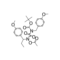 CCC(c1ccc(OC)cc1)N(OC(C)=O)S(=O)(=O)N(Cc1ccc(OC)cc1)C(=O)OC(C)(C)C